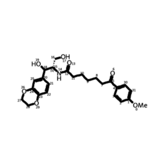 COc1ccc(C(=O)CCCCCC(=O)N[C@@H](CO)C(O)c2ccc3c(c2)OCCO3)cc1